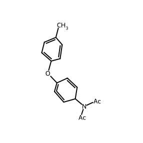 CC(=O)N(C(C)=O)C1C=C=C(Oc2ccc(C)cc2)C=C1